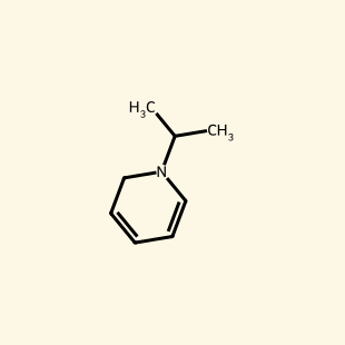 CC(C)N1C=CC=CC1